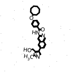 Cn1ncc(-c2ccc3cnc(NC(=O)c4ccc(OC5CCCCCCC5)cc4)cc3c2)c1CO